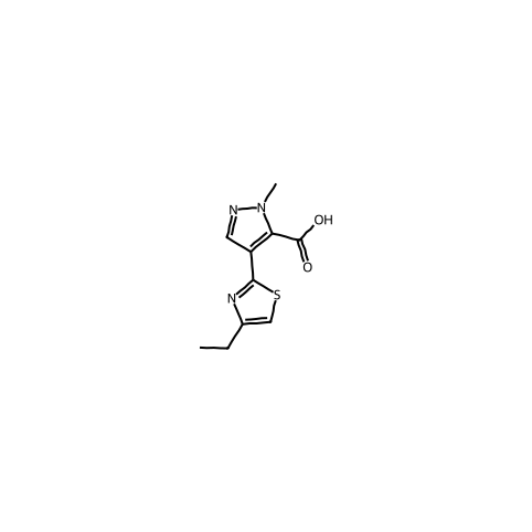 CCc1csc(-c2cnn(C)c2C(=O)O)n1